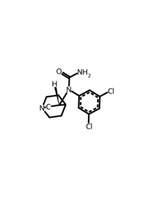 NC(=O)N(c1cc(Cl)cc(Cl)c1)[C@H]1CN2CCC1CC2